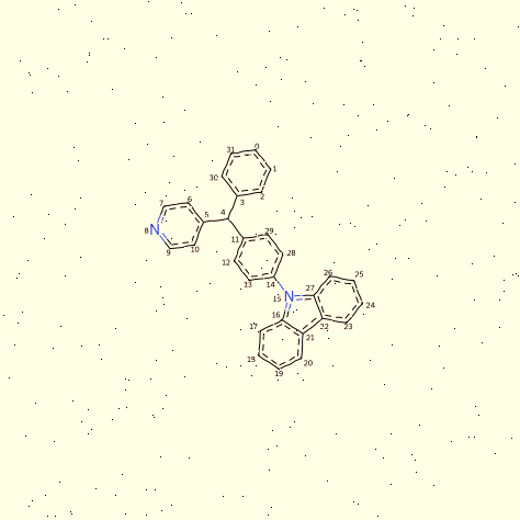 c1ccc(C(c2ccncc2)c2ccc(-n3c4ccccc4c4ccccc43)cc2)cc1